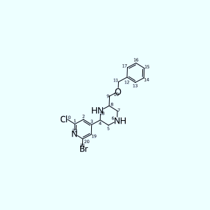 Clc1cc(C2CNCC(COCc3ccccc3)N2)cc(Br)n1